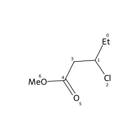 CCC(Cl)CC(=O)OC